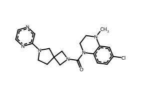 CN1CCN(C(=O)N2CC3(CCN(c4cnccn4)C3)C2)c2ccc(Cl)cc21